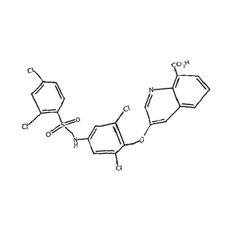 O=C(O)c1cccc2cc(Oc3c(Cl)cc(NS(=O)(=O)c4ccc(Cl)cc4Cl)cc3Cl)cnc12